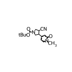 Cn1ccc(C2CN(C(=O)OC(C)(C)C)CC2C#N)cc1=O